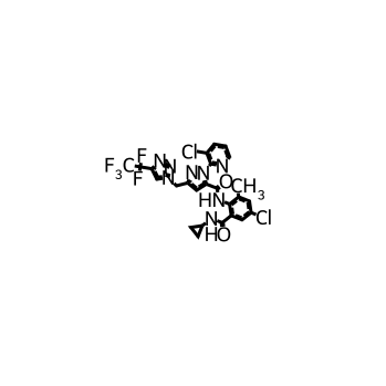 Cc1cc(Cl)cc(C(=O)NC2CC2)c1NC(=O)c1cc(Cn2cc(C(F)(F)C(F)(F)F)nn2)nn1-c1ncccc1Cl